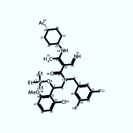 CC[Si](CC)(CC)OC(CN(Cc1cc(F)cc(F)c1)C(=O)/C(C=N)=C(\C)N[C@H]1CC[C@H](C(C)=O)CC1)c1c(Cl)cccc1OC